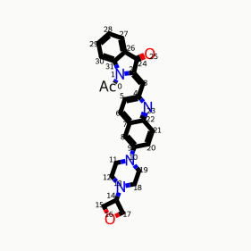 CC(=O)N1/C(=C\c2ccc3cc(N4CCN(C5COC5)CC4)ccc3n2)C(=O)c2ccccc21